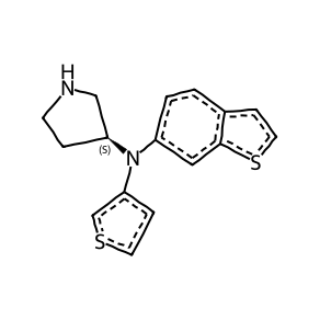 c1cc(N(c2ccc3ccsc3c2)[C@H]2CCNC2)cs1